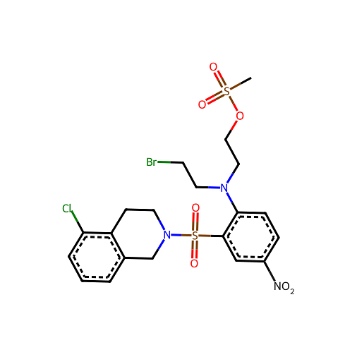 CS(=O)(=O)OCCN(CCBr)c1ccc([N+](=O)[O-])cc1S(=O)(=O)N1CCc2c(Cl)cccc2C1